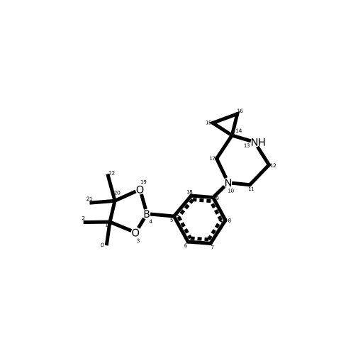 CC1(C)OB(c2cccc(N3CCNC4(CC4)C3)c2)OC1(C)C